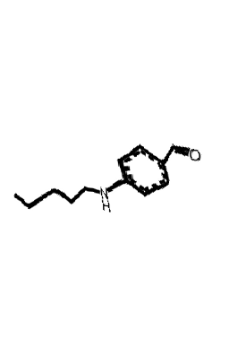 CCCCCNc1ccc([C]=O)cc1